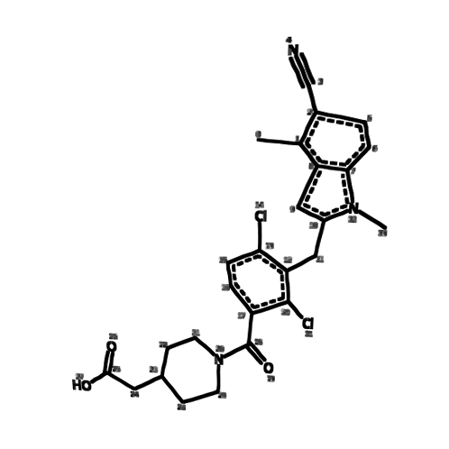 Cc1c(C#N)ccc2c1cc(Cc1c(Cl)ccc(C(=O)N3CCC(CC(=O)O)CC3)c1Cl)n2C